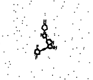 Fc1ccc(F)c(C#Cc2c[nH]c3ncc(-c4cnn(C5CCNCC5)c4)cc23)c1